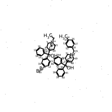 CC[N+]12CCC(C(O)(c3ccccc3)c3ccccc3)(CC1)CC2.Cc1ccc(C[N+]23CCC(C(O)(c4ccccc4)c4ccccc4)(CC2)CC3)cc1.[Br-].[Br-]